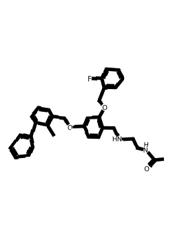 CC(=O)NCCNCc1ccc(OCc2cccc(-c3ccccc3)c2C)cc1OCc1ccccc1F